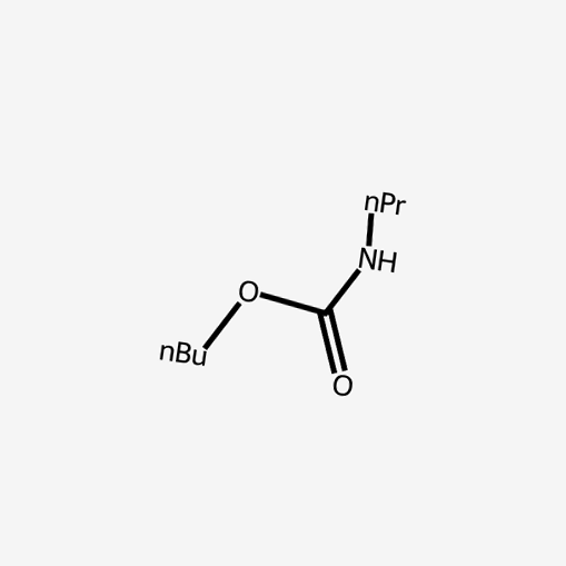 [CH2]CCNC(=O)OCCCC